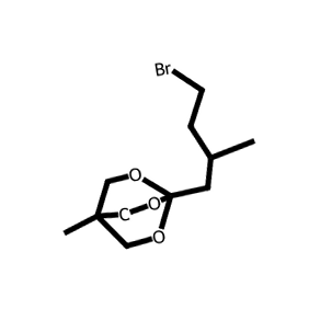 CC(CCBr)CC12OCC(C)(CO1)CO2